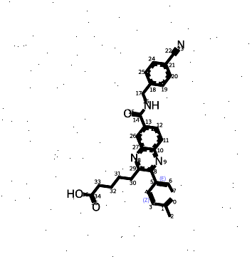 C=C(C)/C=C\C(=C/C)c1nc2ccc(C(=O)NCc3ccc(C#N)cc3)cc2nc1CCCCC(=O)O